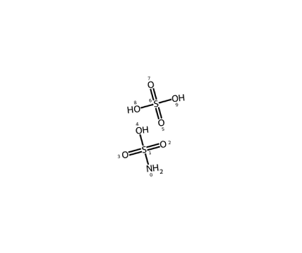 NS(=O)(=O)O.O=S(=O)(O)O